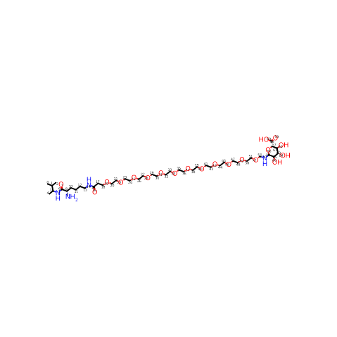 CC(C)C(C)NC(=O)[C@@H](N)CCCCNC(=O)CCOCCOCCOCCOCCOCCOCCOCCOCCOCCOCCOCCOCNC1O[C@H](C(=O)O)C(O)[C@H](O)C1O